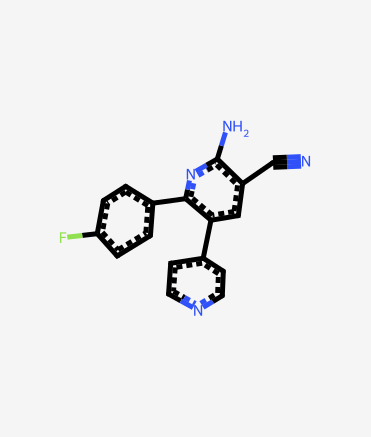 N#Cc1cc(-c2ccncc2)c(-c2ccc(F)cc2)nc1N